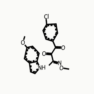 CON=C(C)C(=O)C(=O)c1ccc(Cl)cc1.COc1ccc2[nH]ccc2c1